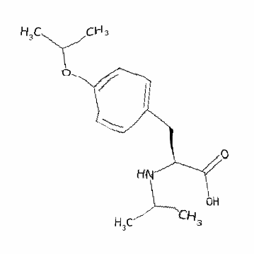 CC(C)N[C@@H](Cc1ccc(OC(C)C)cc1)C(=O)O